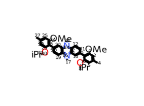 COc1cc(C)cc(OC(C)C)c1-c1ccc2c(c1)N(C)c1ccc(-c3c(OC)cc(C)cc3OC(C)C)cc1N2C